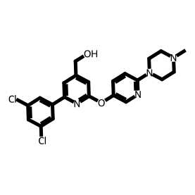 CN1CCN(c2ccc(Oc3cc(CO)cc(-c4cc(Cl)cc(Cl)c4)n3)cn2)CC1